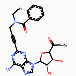 CNC(=O)C1OC(n2cnc3c(N)nc(C#CCN(CC(C)C)C(=O)c4ccccc4)nc32)[C@H](O)[C@@H]1O